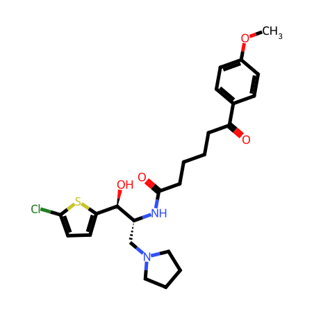 COc1ccc(C(=O)CCCCC(=O)N[C@H](CN2CCCC2)[C@H](O)c2ccc(Cl)s2)cc1